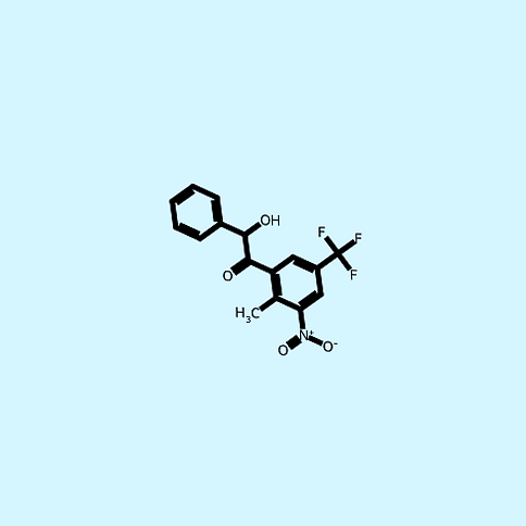 Cc1c(C(=O)C(O)c2ccccc2)cc(C(F)(F)F)cc1[N+](=O)[O-]